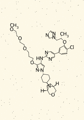 COCCOCCOCCCOc1nn([C@H]2CC[C@H](N3[C@@H]4CC[C@H]3COC4)CC2)cc1Nc1ncc(-c2ccc(Cl)c(O[C@@H](C)Cn3cncn3)c2)cn1